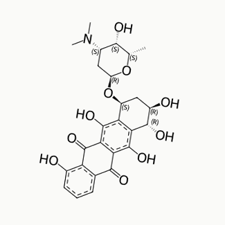 C[C@@H]1O[C@@H](O[C@H]2C[C@@H](O)[C@H](O)c3c(O)c4c(c(O)c32)C(=O)c2c(O)cccc2C4=O)C[C@H](N(C)C)[C@@H]1O